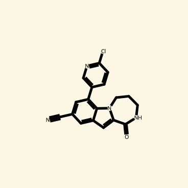 N#Cc1cc(-c2ccc(Cl)nc2)c2c(c1)cc1n2CCCNC1=O